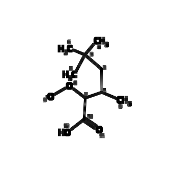 CC(CC(C)(C)C)C(O[O])C(=O)O